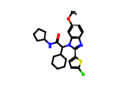 COc1ccc2nc(-c3ccc(Cl)s3)n(C(C(=O)NC3CCCC3)C3CCCCC3)c2c1